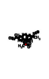 CC(N=C=O)c1ccc2c(c1)CCc1cc(C(C)N=C=O)ccc1C2(C[C@@H](C)N)c1nc(=O)o[nH]1